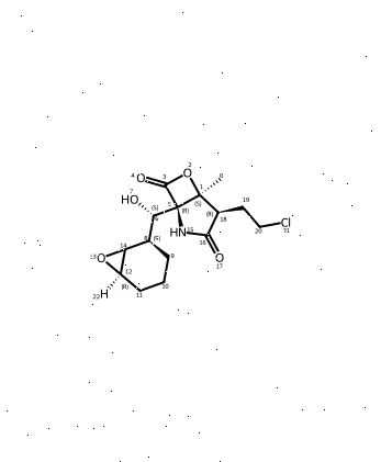 C[C@@]12OC(=O)[C@]1([C@@H](O)[C@H]1CCC[C@H]3OC31)NC(=O)[C@@H]2CCCl